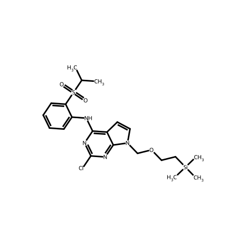 CC(C)S(=O)(=O)c1ccccc1Nc1nc(Cl)nc2c1ccn2COCC[Si](C)(C)C